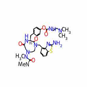 CNC(=O)N(C)N1CCN(Cc2cccc3sc(N)nc23)C(=O)[C@H](Cc2ccc(OC(=O)NCCN(C)C)cc2)NC(=O)C1